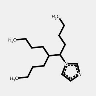 CCCCC(CCCC)C(CCCC)n1ccnc1